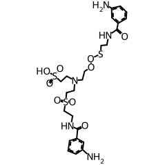 Nc1cccc(C(=O)NCCSOOCCN(CCS(=O)(=O)O)CCS(=O)(=O)CCNC(=O)c2cccc(N)c2)c1